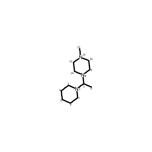 C[C](N1CCCCC1)N1CCN(C)CC1